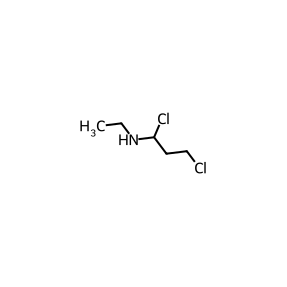 CCNC(Cl)CCCl